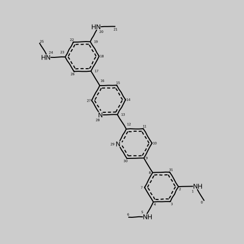 CNc1cc(NC)cc(-c2ccc(-c3ccc(-c4cc(NC)cc(NC)c4)cn3)nc2)c1